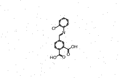 O=C(O)c1ccc(C=Nc2ccccc2Cl)cc1C(=O)O